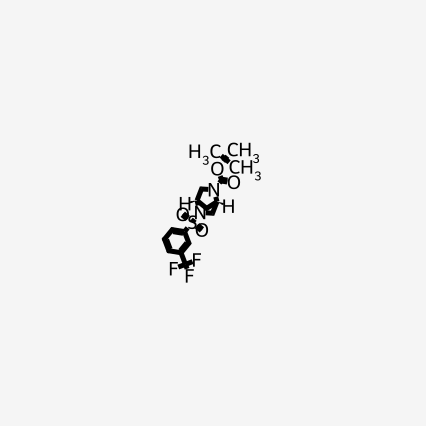 CC(C)(C)OC(=O)N1C[C@H]2C[C@@H]1CN2S(=O)(=O)c1cccc(C(F)(F)F)c1